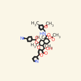 COc1cc(C)ccc1CNC(=O)C1(C)C2C[C@H](OC(=O)c3ccc(C#N)cc3)[C@@]3(C)Oc4cc(-c5cccnc5)oc(=O)c4[C@H](O)C3[C@@]2(C)CC[C@@H]1OC(C)=O